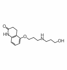 O=C1CCc2c(cccc2OCCCNCCCO)N1